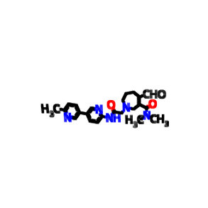 Cc1ccc(-c2ccc(NC(=O)CN3CCCC(C=O)=C(C(=O)N(C)C)C3)nc2)cn1